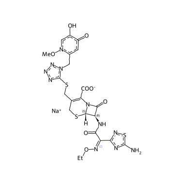 CCO/N=C(\C(=O)N[C@@H]1C(=O)N2C(C(=O)[O-])=C(CSc3nnnn3Cc3cc(=O)c(O)cn3OC)CS[C@@H]12)c1nsc(N)n1.[Na+]